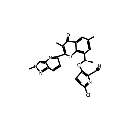 Cc1cc([C@@H](C)Oc2ccc(Cl)nc2C#N)c2oc(-c3ccc4nn(C)cc4n3)c(C)c(=O)c2c1